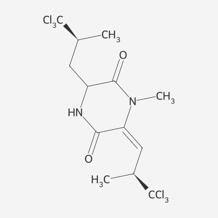 C[C@@H](/C=C1\C(=O)NC(C[C@H](C)C(Cl)(Cl)Cl)C(=O)N1C)C(Cl)(Cl)Cl